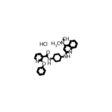 CN(C)c1cc(NC2CCC(NC(=O)c3cccnc3Oc3ccccc3)CC2)nc2ccccc12.Cl